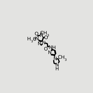 C[C@H]1CNCCN1c1ccc(NC(=O)Cn2cnc3c2c(=O)n(C)c(=O)n3C)nc1